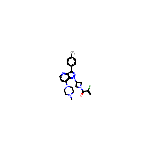 C=C(F)C(=O)N1CC(n2nc(-c3ccc(C(F)(F)F)cc3)c3nccc(N4CCN(C)CC4)c32)C1